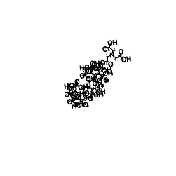 O=C(O)CN(CC(=O)O)CC(=O)O.O=P(O)(O)C(N(CCN(C(P(=O)(O)O)P(=O)(O)O)C(P(=O)(O)O)P(=O)(O)O)CCN(C(P(=O)(O)O)P(=O)(O)O)C(P(=O)(O)O)P(=O)(O)O)P(=O)(O)O